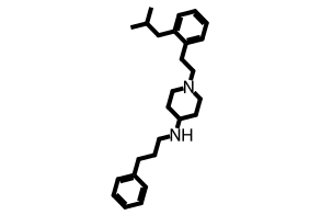 CC(C)Cc1ccccc1CCN1CCC(NCCCc2ccccc2)CC1